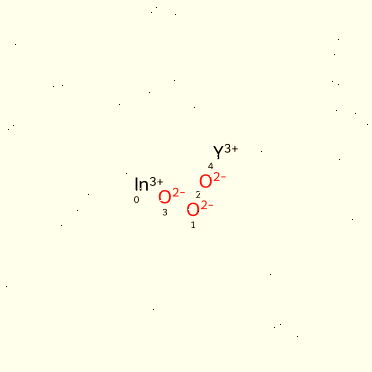 [In+3].[O-2].[O-2].[O-2].[Y+3]